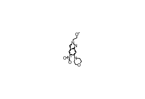 COCCn1cc2cc([N+](=O)[O-])c(N3CCOCC3)cc2n1